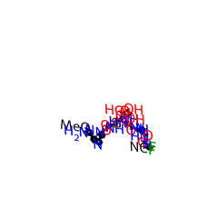 COc1ncc(-c2ccc3nccc(-c4ccc(COC(=O)NCCSSCC(NC(=O)CCC(=O)NCc5cc(C(=O)NCC(=O)N6CC(F)(F)C[C@H]6C#N)ccn5)C(=O)N[C@@H]5[C@@H](O)[C@H](C)C(O)O[C@H]5CO)nc4)c3c2)cc1N